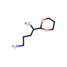 CC(CCCN)C1OCCCO1